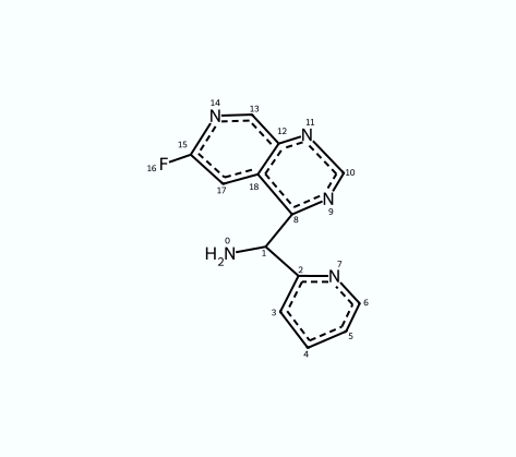 NC(c1ccccn1)c1ncnc2cnc(F)cc12